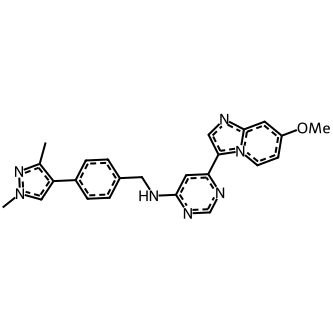 COc1ccn2c(-c3cc(NCc4ccc(-c5cn(C)nc5C)cc4)ncn3)cnc2c1